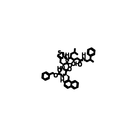 CC(C)CC(NC(=O)[C@H](Cc1cscn1)NC(=O)[C@H](Cc1cccc2ccccc12)NC(=O)OCc1ccccc1)C(O)CC(=O)NCC(C)c1ccccc1